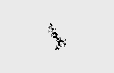 CCNC(=O)Nc1ccc(-c2nc(C(=O)NC)c(C(=O)OC(C)C)s2)cn1